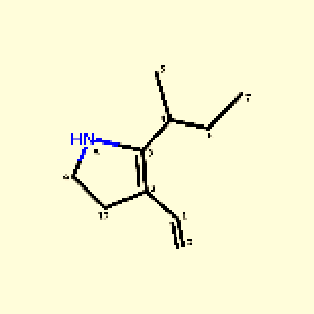 C=CC1=C(C(C)CC)NCC1